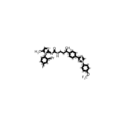 Cc1cs/c(=N\C(=O)NCCC(C)c2ccc(-c3ncn(-c4ccc(OC(F)(F)F)cc4)n3)cc2)n1-c1ccc(F)cc1C(C)C